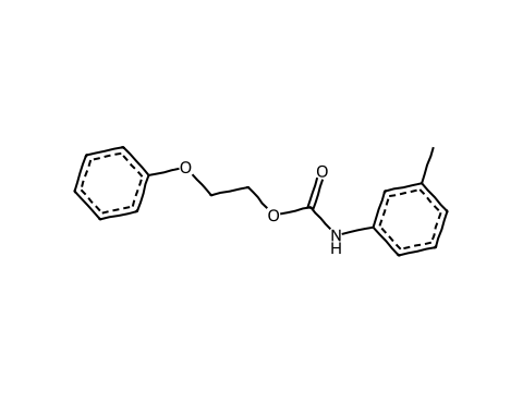 Cc1cccc(NC(=O)OCCOc2ccccc2)c1